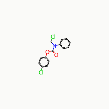 O=C(Oc1ccc(Cl)cc1)N(CCl)c1ccccc1